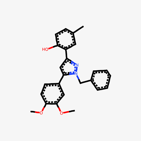 COc1ccc(-c2cc(-c3cc(C)ccc3O)nn2Cc2ccccc2)cc1OC